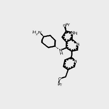 CCCc1cc2c(N[C@H]3CC[C@H](N)CC3)c(-c3ccc(COC(C)C)cn3)cnc2[nH]1